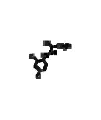 CCOC(=O)C(=N)NNc1ccc(Cl)cc1Cl